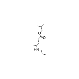 CCCNC(C)CCC(=O)OCC(C)C